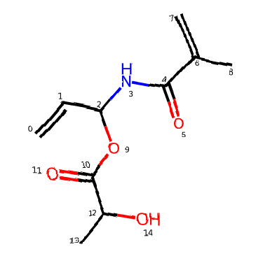 C=CC(NC(=O)C(=C)C)OC(=O)C(C)O